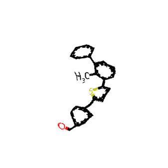 Cc1c(-c2ccccc2)cccc1-c1ccc(-c2ccc(C=O)cc2)s1